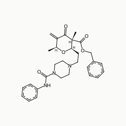 C=C1C(=O)[C@](C)(C(=O)OCc2ccccc2)[C@@H](CCN2CCN(C(=O)Nc3ccccc3)CC2)O[C@H]1C